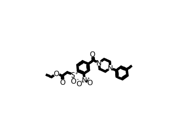 CCOC(=O)C[S+]([O-])c1ccc(C(=O)N2CCN(c3cccc(C)c3)CC2)cc1[N+](=O)[O-]